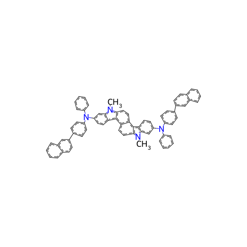 Cn1c2cc(N(c3ccccc3)c3ccc(-c4ccc5ccccc5c4)cc3)ccc2c2c3ccc4c(c3ccc21)c1ccc(N(c2ccccc2)c2ccc(-c3ccc5ccccc5c3)cc2)cc1n4C